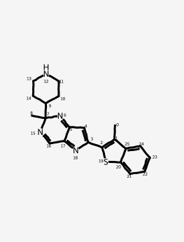 Cc1c(C2=CC3=NC(C)(C4CCNCC4)N=CC3=N2)sc2ccccc12